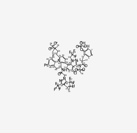 CC(C)(Cc1ccccc1OP(=O)(O)O)C(=O)N(c1nn(CC(F)(F)F)c2c(-c3ccc(CCC(C)(C)S(C)(=O)=O)nc3[C@H](Cc3cc(F)cc(F)c3)NC(=O)Cn3nc(C(F)(F)F)c4c3C(F)(F)[C@@H]3CC43)ccc(Cl)c12)S(C)(=O)=O